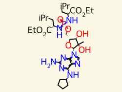 CCOC(=O)[C@H](CC(C)C)NP(=O)(N[C@@H](CC(C)C)C(=O)OCC)OC[C@H]1O[C@@H](n2cnc3c(NC4CCCC4)nc(N)nc32)C(C)(O)[C@H]1O